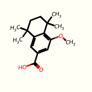 COc1cc(C(=O)O)cc2c1C(C)(C)CCC2(C)C